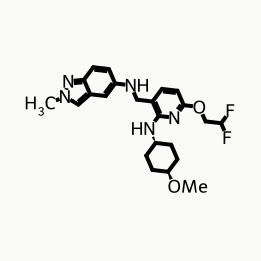 CO[C@H]1CC[C@H](Nc2nc(OCC(F)F)ccc2CNc2ccc3nn(C)cc3c2)CC1